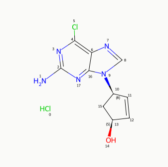 Cl.Nc1nc(Cl)c2ncn([C@H]3C=C[C@@H](O)C3)c2n1